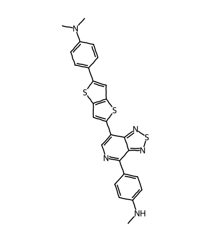 CNc1ccc(-c2ncc(-c3cc4sc(-c5ccc(N(C)C)cc5)cc4s3)c3nsnc23)cc1